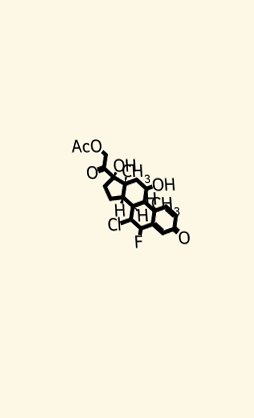 CC(=O)OCC(=O)[C@@]1(O)CC[C@H]2[C@@H]3C(Cl)C(F)C4=CC(=O)C=C[C@]4(C)[C@H]3C(O)C[C@@]21C